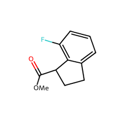 COC(=O)C1CCc2cccc(F)c21